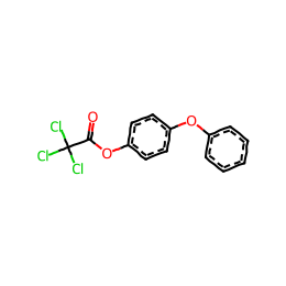 O=C(Oc1ccc(Oc2ccccc2)cc1)C(Cl)(Cl)Cl